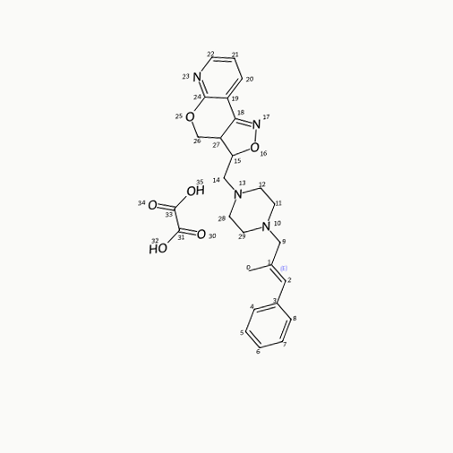 C/C(=C\c1ccccc1)CN1CCN(CC2ON=C3c4cccnc4OCC32)CC1.O=C(O)C(=O)O